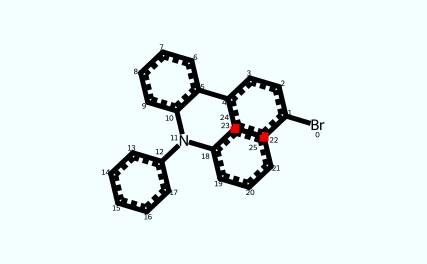 Brc1ccc(-c2ccccc2N(c2ccccc2)c2ccccc2)cc1